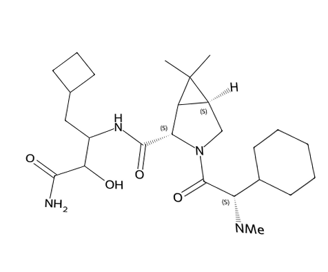 CN[C@H](C(=O)N1C[C@H]2C([C@H]1C(=O)NC(CC1CCC1)C(O)C(N)=O)C2(C)C)C1CCCCC1